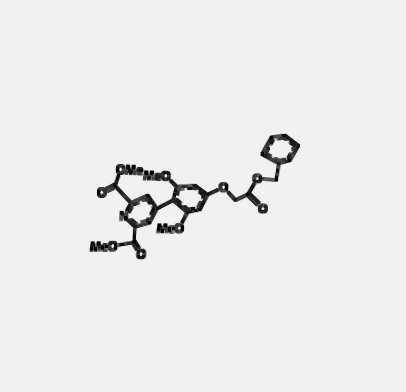 COC(=O)c1cc(-c2c(OC)cc(OCC(=O)OCc3ccccc3)cc2OC)cc(C(=O)OC)n1